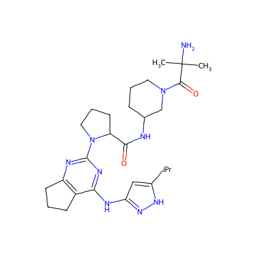 CC(C)c1cc(Nc2nc(N3CCCC3C(=O)NC3CCCN(C(=O)C(C)(C)N)C3)nc3c2CCC3)n[nH]1